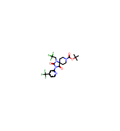 CC(C)(C)OC(=O)N1CCC2(CC1)C(=O)N(c1cc(C(F)(F)F)ccn1)C(=O)N2CC(F)(F)F